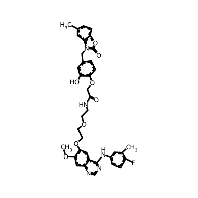 COc1cc2ncnc(Nc3ccc(F)c(C)c3)c2cc1OCCOCCNC(=O)COc1ccc(Cn2c(=O)oc3ccc(C)cc32)cc1O